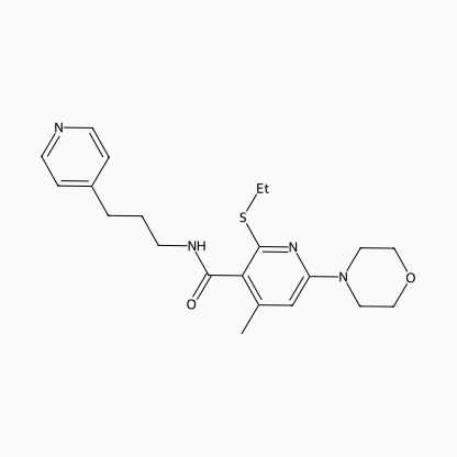 CCSc1nc(N2CCOCC2)cc(C)c1C(=O)NCCCc1ccncc1